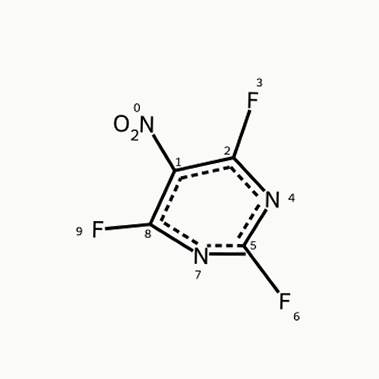 O=[N+]([O-])c1c(F)nc(F)nc1F